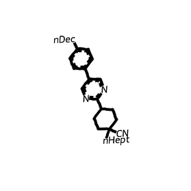 CCCCCCCCCCc1ccc(-c2cnc(C3CCC(C#N)(CCCCCCC)CC3)nc2)cc1